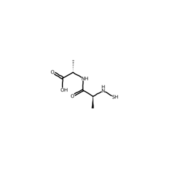 C[C@H](NC(=O)[C@H](C)NS)C(=O)O